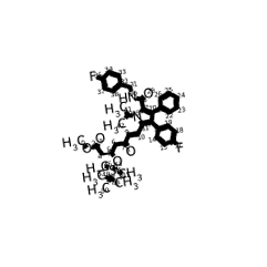 COC(=O)C[C@@H](CC(=O)C=Cc1c(-c2ccc(F)cc2)c(-c2ccccc2)c(C(=O)NCc2ccc(F)cc2)n1C(C)C)O[Si](C)(C)C(C)(C)C